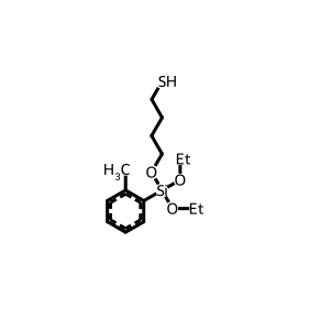 CCO[Si](OCC)(OCCCCS)c1ccccc1C